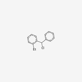 CCc1ccccc1C(Cl)c1ccccc1